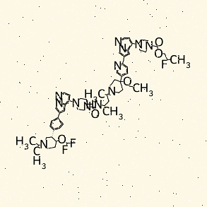 CCOC1(c2ccc(-c3cc4c(N5CCN(C(=O)OC[C@@H](C)F)CC5)ccnn4c3)nc2)CCN(C(C)CC(C)NC(=O)N2CCN(c3ccnn4cc(-c5ccc([C@H]6CN(C(C)C)CC[C@@H]6OC(F)F)cc5)cc34)CC2)CC1